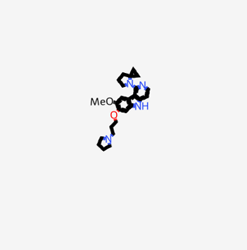 COc1cc2c(cc1OCCCN1CCCC1)[nH]c1ccnc(N3CCCC34CC4)c12